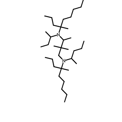 CCCCCC(C)(CCC)N(CC(C)(C)C(C)N(C(C)CC)C(C)(CCC)CCCCC)C(C)CCC